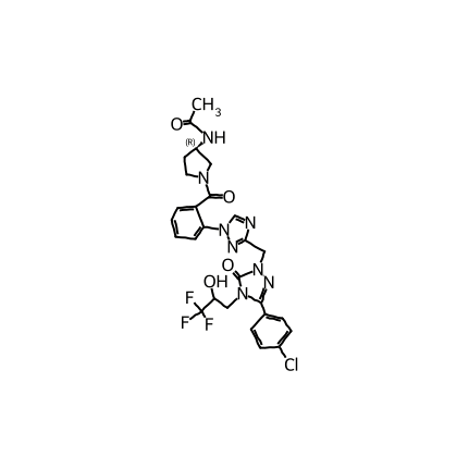 CC(=O)N[C@@H]1CCN(C(=O)c2ccccc2-n2cnc(Cn3nc(-c4ccc(Cl)cc4)n(CC(O)C(F)(F)F)c3=O)n2)C1